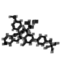 COc1ccc(S(=O)(=O)N(Cc2cccnc2)c2c(C)cc(-c3ccc(OC(F)(F)F)cc3)cc2C(=O)NO)cc1.Cl